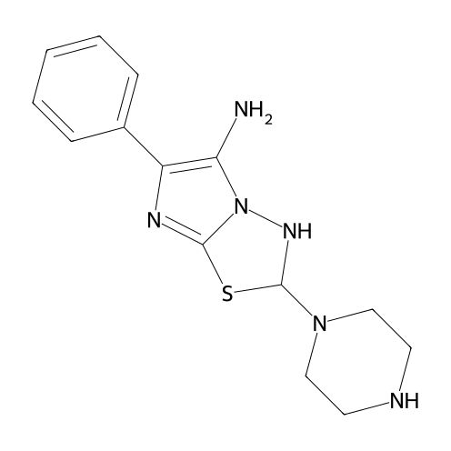 Nc1c(-c2ccccc2)nc2n1NC(N1CCNCC1)S2